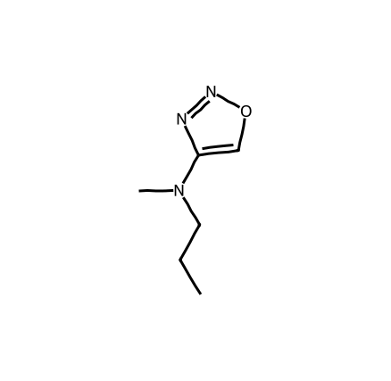 CCCN(C)c1conn1